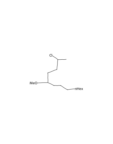 [C]OC(CCCCCCCCC)CCC(C)Cl